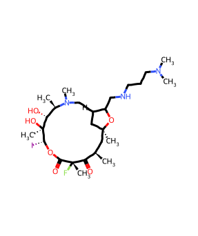 C[C@@H]1C[C@@]2(C)C[C@H](CN(C)[C@H](C)[C@@H](O)[C@](C)(O)[C@@H](I)OC(=O)[C@@](C)(F)C1=O)C(CNCCCN(C)C)O2